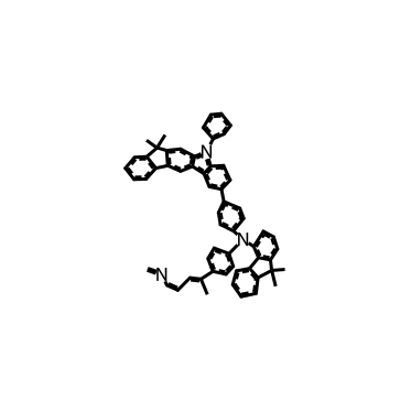 C=N/C=C\C=C(/C)c1ccc(N(c2ccc(-c3ccc4c(c3)c3cc5c(cc3n4-c3ccccc3)C(C)(C)c3ccccc3-5)cc2)c2cccc3c2-c2ccccc2C3(C)C)cc1